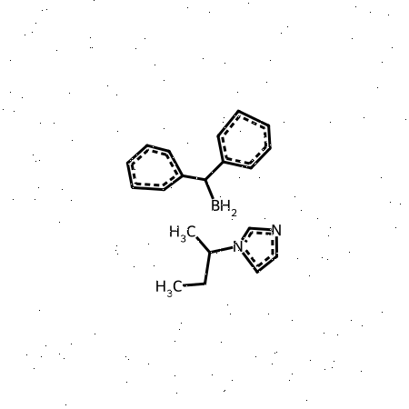 BC(c1ccccc1)c1ccccc1.CCC(C)n1ccnc1